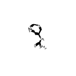 NC(=O)[Se]c1cncnc1